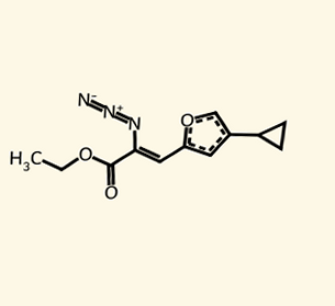 CCOC(=O)/C(=C/c1cc(C2CC2)co1)N=[N+]=[N-]